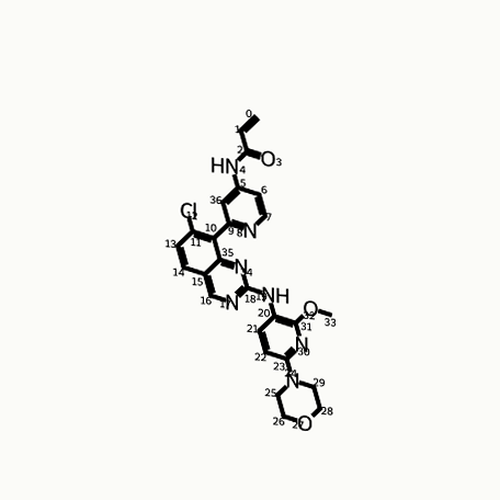 C=CC(=O)Nc1ccnc(-c2c(Cl)ccc3cnc(Nc4ccc(N5CCOCC5)nc4OC)nc23)c1